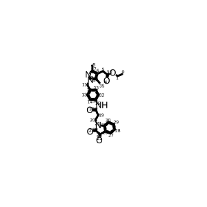 CCOC(=O)Cc1c(C)nn(Cc2ccc(NC(=O)CCN3C(=O)C(=O)c4ccccc43)cc2)c1C